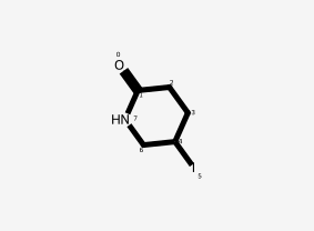 O=C1CCC(I)CN1